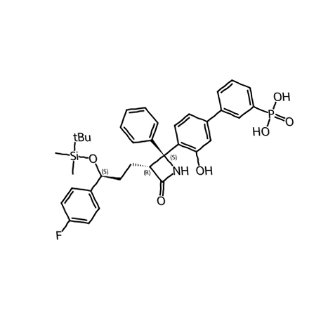 CC(C)(C)[Si](C)(C)O[C@@H](CC[C@H]1C(=O)N[C@@]1(c1ccccc1)c1ccc(-c2cccc(P(=O)(O)O)c2)cc1O)c1ccc(F)cc1